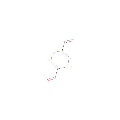 O=CC1=NNC(C=O)=NN1